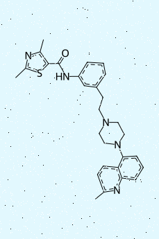 Cc1ccc2c(N3CCN(CCc4cccc(NC(=O)c5sc(C)nc5C)c4)CC3)cccc2n1